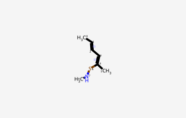 C/C=C/C=C(/C)SNC